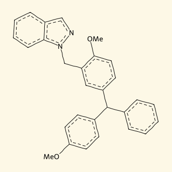 COc1ccc(C(c2ccccc2)c2ccc(OC)c(Cn3ncc4ccccc43)c2)cc1